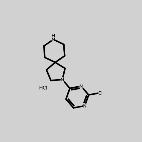 Cl.Clc1nccc(N2CCC3(CCNCC3)C2)n1